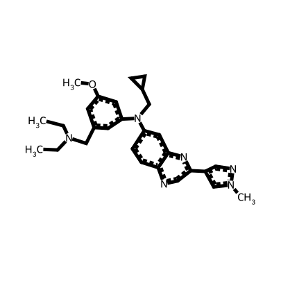 CCN(CC)Cc1cc(OC)cc(N(CC2CC2)c2ccc3ncc(-c4cnn(C)c4)nc3c2)c1